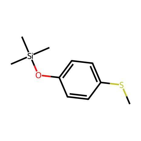 CSc1ccc(O[Si](C)(C)C)cc1